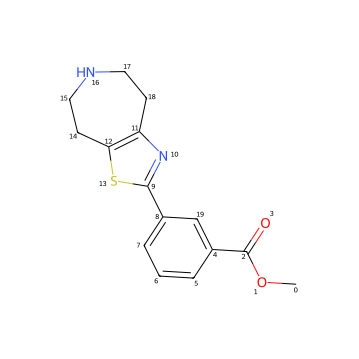 COC(=O)c1cccc(-c2nc3c(s2)CCNCC3)c1